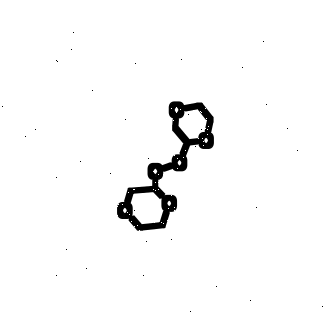 C1COC(OOC2COCCO2)CO1